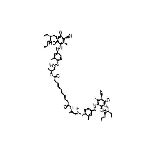 CCCCC(CC)Cn1c(O)c(N=Nc2ccc(SNCC(C)OC(=O)CCCCCCCCC(=O)OC(C)CNSc3ccc(N=Nc4c(C)c(C#N)c(=O)n(CC(CC)CCCC)c4O)cc3C)c(C)c2)c(C)c(C#N)c1=O